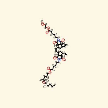 C=CC1CC(/C=C\C2CC(C=C)[C@@H]3C(=O)N(CCCCCC(=O)OCCOC)C(=O)[C@H]23)[C@@H]2C(=O)N(CCCCCC(=O)OCCC[Si](C)(C)O[Si](C)(C)CCCC)C(=O)[C@H]12